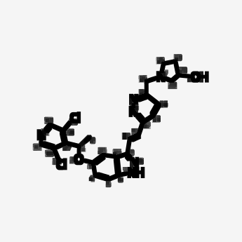 C[C@@H](Oc1ccc2[nH]nc(/C=C/c3ccc(CN4CCC(O)C4)nn3)c2c1)c1c(Cl)cncc1Cl